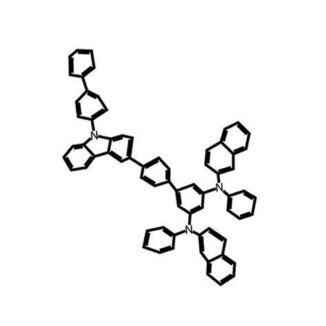 c1ccc(-c2ccc(-n3c4ccccc4c4cc(-c5ccc(-c6cc(N(c7ccccc7)c7ccc8ccccc8c7)cc(N(c7ccccc7)c7ccc8ccccc8c7)c6)cc5)ccc43)cc2)cc1